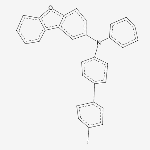 Cc1ccc(-c2ccc(N(c3ccccc3)c3ccc4oc5ccccc5c4c3)cc2)cc1